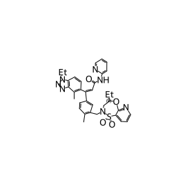 CC[C@@H]1CN(Cc2cc(C(=CC(=O)Nc3ccccn3)c3ccc4c(nnn4CC)c3C)ccc2C)S(=O)(=O)c2cccnc2O1